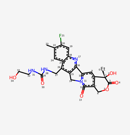 CC[C@@]1(O)C(=O)OCc2c1cc1n(c2=O)Cc2c-1nc1cc(F)c(C)cc1c2CNC(=O)NCCO